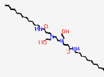 CCCCCCCCCCCCNC(=O)CCN(CCO)CCN(CCO)CCC(=O)NCCCCCCCCCCCC